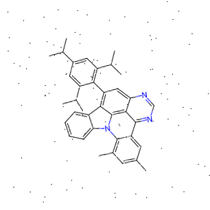 Cc1cc(C)c2c(c1)c1ncnc3cc(-c4c(C(C)C)cc(C(C)C)cc4C(C)C)c4c5ccccc5n2c4c31